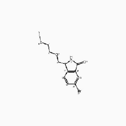 O=C1NC(COCCSI)c2ccc(Br)cc21